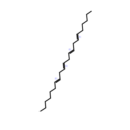 [CH2]CCCCC/C=C/C/C=C/C/C=C/C/C=C/CCCCC